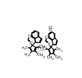 C[CH]=[Ti+][C]1(C2C=Cc3ccccc32)C(C)=C(C)C(C)=C1C.C[CH]=[Ti+][C]1(C2C=Cc3ccccc32)C(C)=C(C)C(C)=C1C.[Cl-].[Cl-]